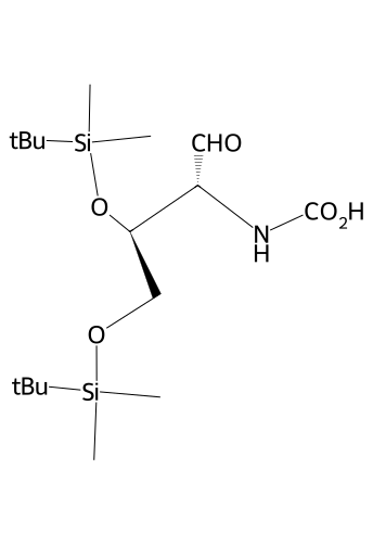 CC(C)(C)[Si](C)(C)OC[C@@H](O[Si](C)(C)C(C)(C)C)[C@H](C=O)NC(=O)O